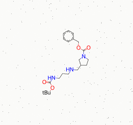 CC(C)(C)OC(=O)NCCCNCC1CCN(C(=O)OCc2ccccc2)C1